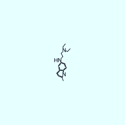 CCN(CC)CCNc1ccc2nc(C)ccc2c1